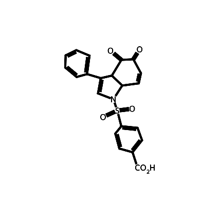 O=C1C=CC2C(C1=O)C(c1ccccc1)=CN2S(=O)(=O)c1ccc(C(=O)O)cc1